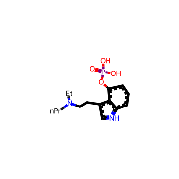 CCCN(CC)CCc1c[nH]c2cccc(OP(=O)(O)O)c12